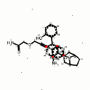 NC(=O)COCC#Cc1cnc(N2C3CCC2CN(c2cc(-c4ccccc4O)nnc2N)C3)nc1